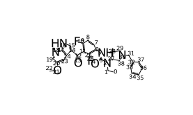 CCN(C(=O)Nc1ccc(F)c(C(=O)c2c[nH]c3ncc(OC)cc23)c1F)C1CCN(Cc2ccccc2)C1